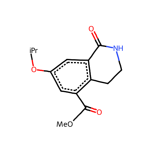 COC(=O)c1cc(OC(C)C)cc2c1CCNC2=O